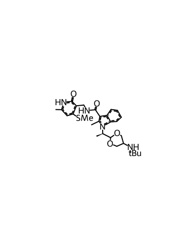 CSc1cc(C)[nH]c(=O)c1CNC(=O)c1c(C)n([C@H](C)C2OCC(NC(C)(C)C)CO2)c2ccccc12